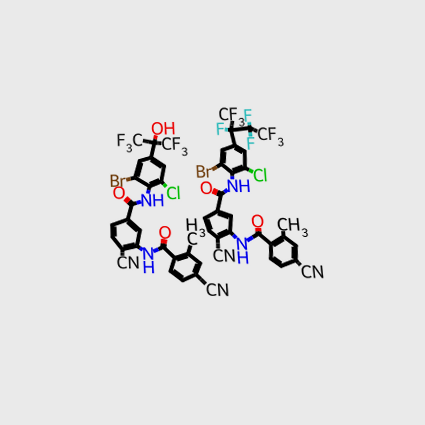 Cc1cc(C#N)ccc1C(=O)Nc1cc(C(=O)Nc2c(Cl)cc(C(F)(C(F)(F)F)C(F)(F)C(F)(F)F)cc2Br)ccc1C#N.Cc1cc(C#N)ccc1C(=O)Nc1cc(C(=O)Nc2c(Cl)cc(C(O)(C(F)(F)F)C(F)(F)F)cc2Br)ccc1C#N